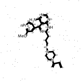 C=CC(=C)N1CCN(CCCCCNc2ncnc(N)c2C(=N)C(/C=C\CCC)=C/C(=C)OC)CC1